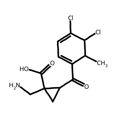 CC1C(C(=O)C2CC2(CN)C(=O)O)=CC=C(Cl)C1Cl